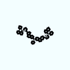 c1ccc(N(c2ccc3c(ccc4cc(-c5cccc(N(c6ccccc6)c6cccc7ccccc67)n5)ccc43)c2)c2ccc3c(ccc4cc(-c5cccc(N(c6ccccc6)c6cccc7ccccc67)n5)ccc43)c2)cc1